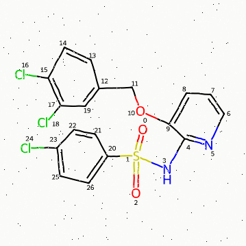 O=S(=O)(Nc1ncccc1OCc1ccc(Cl)c(Cl)c1)c1ccc(Cl)cc1